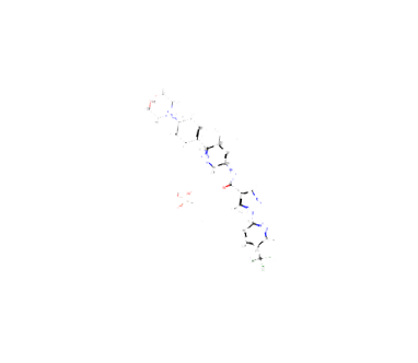 CS(=O)(=O)O.Cc1cc(NC(=O)c2cnn(-c3ccc(C(F)(F)F)cn3)c2C)cnc1C1=CCC(N2CCOCC2)CC1